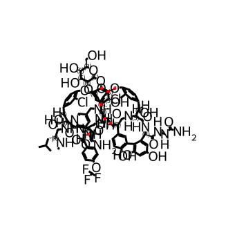 CN[C@H](CC(C)C)C(=O)N[C@H]1C(=O)N[C@@H](CC(N)=O)C(=O)N[C@H]2C(=O)N[C@H]3C(=O)N[C@H](C(=O)N[C@@H](C(=O)NNC(N)=O)c4cc(O)cc(O)c4-c4cc3ccc4O)[C@H](O)c3ccc(c(Cl)c3)Oc3cc2cc(c3O[C@@H]2O[C@H](CO)[C@@H](O)[C@H](O)[C@H]2O[C@H]2C[C@](C)(NCc3cncc(NC(=O)c4ccc(OC(F)(F)F)cc4)c3)[C@H](O)[C@H](C)O2)Oc2ccc(cc2Cl)[C@H]1O